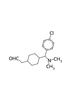 CN(C)C(c1ccc(Cl)cc1)C1CCC(CC=O)CC1